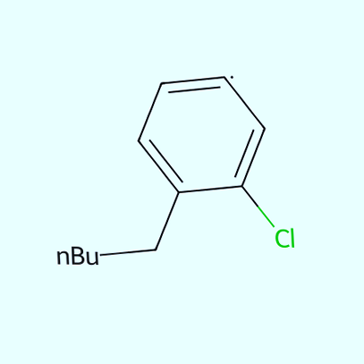 CCCCCc1cc[c]cc1Cl